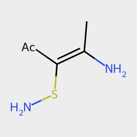 CC(=O)/C(SN)=C(\C)N